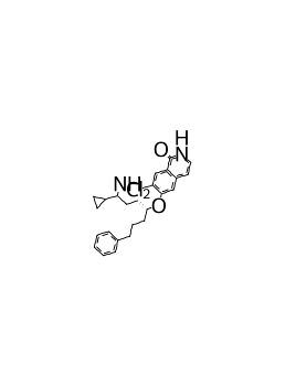 NC(CC[C@@H](CCCc1ccccc1)Oc1cc2cc[nH]c(=O)c2cc1Cl)C1CC1